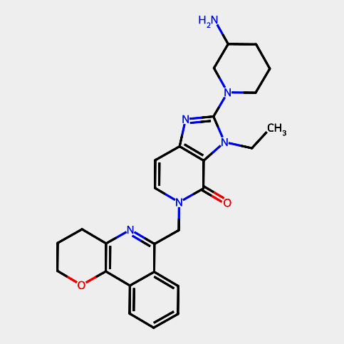 CCn1c(N2CCCC(N)C2)nc2ccn(Cc3nc4c(c5ccccc35)OCCC4)c(=O)c21